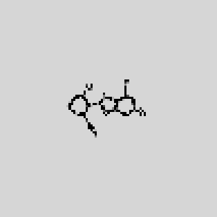 N#Cc1cccc(Cl)c1-c1nc2c(F)c[n+]([O-])cc2s1